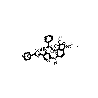 COB1OC(C)(C)c2nc(Nc3cc(N[C@H](CO)c4ccccc4)c(-c4nc(C56CCN(CC5)CC6)no4)cn3)ccc21